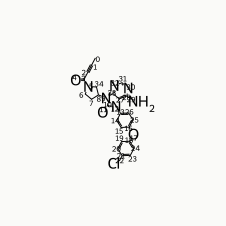 CC#CC(=O)N1CCC(n2c(=O)n(-c3ccc(Oc4ccc(Cl)cc4)cc3)c3c(N)ncnc32)C1